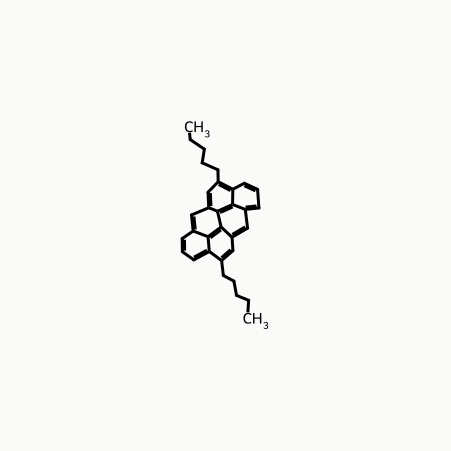 CCCCCc1cc2cc3cccc4c(CCCCC)cc5cc6cccc1c6c2c5c34